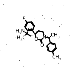 Cc1ccc([C@H](C)N2CC[C@](CC(C)(C)N)(c3ccc(F)cc3)OC2=O)cc1